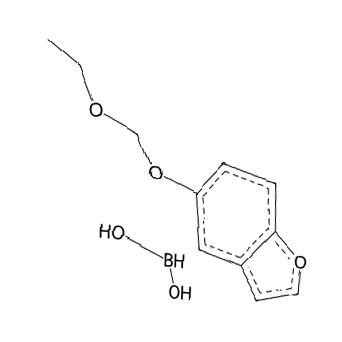 CCOCOc1ccc2occc2c1.OBO